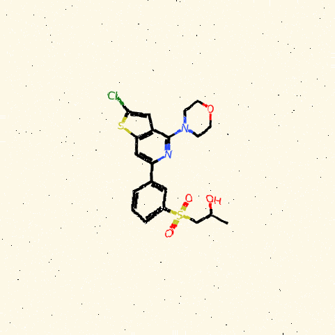 CC(O)CS(=O)(=O)c1cccc(-c2cc3sc(Cl)cc3c(N3CCOCC3)n2)c1